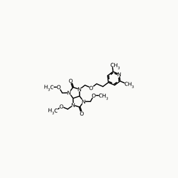 COCN1C(=O)N(COC)C2C1N(COC)C(=O)N2COCCc1cc(C)nc(C)c1